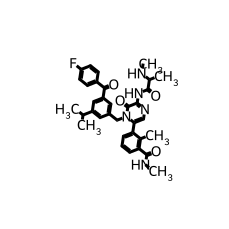 CNC(=O)c1cccc(-c2cnc(NC(=O)C(C)NC)c(=O)n2Cc2cc(C(=O)c3ccc(F)cc3)cc(C(C)C)c2)c1C